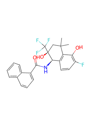 CC1(C)C[C@@](O)(C(F)(F)F)[C@H](NC(=O)c2cccc3ccccc23)c2ccc(F)c(O)c21